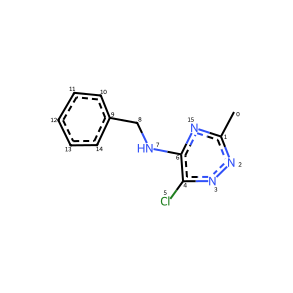 Cc1nnc(Cl)c(NCc2ccccc2)n1